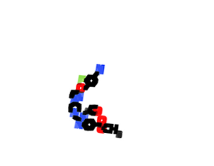 COC(=O)c1ccc2nc(CN3CCC(n4ccc(OCc5ccc(C#N)cc5F)n4)CC3)n(C[C@H]3CCOC3)c2c1